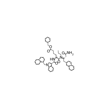 CCCN(C(=O)[C@H](CCCC(=O)OCc1ccccc1)NC(=O)c1cn(Cc2cccc3ccccc23)c2ccccc12)[C@H](CC(N)=O)Cc1ccc2ccccc2c1